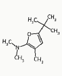 Cc1cc(C(C)(C)C)oc1N(C)C